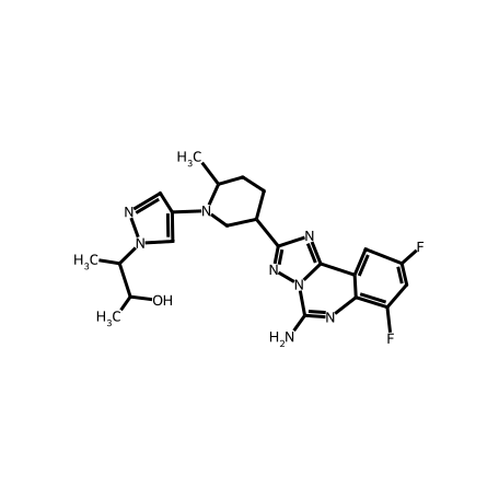 CC(O)C(C)n1cc(N2CC(c3nc4c5cc(F)cc(F)c5nc(N)n4n3)CCC2C)cn1